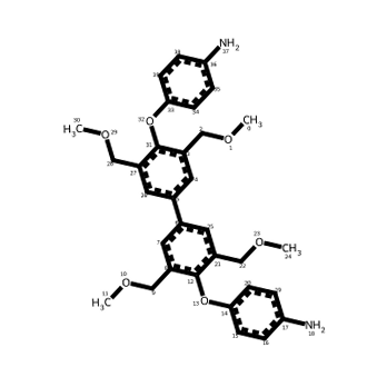 COCc1cc(-c2cc(COC)c(Oc3ccc(N)cc3)c(COC)c2)cc(COC)c1Oc1ccc(N)cc1